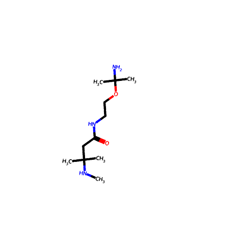 CNC(C)(C)CC(=O)NCCOC(C)(C)N